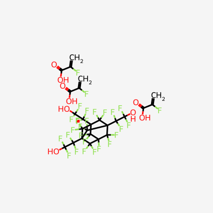 C=C(F)C(=O)O.C=C(F)C(=O)O.C=C(F)C(=O)O.OC(F)(F)C(F)(F)C12C(F)(F)C3(F)C(F)(F)C(C(F)(F)C(O)(F)F)(C1(F)F)C(F)(F)C(C(F)(F)C(O)(F)F)(C3(F)F)C2(F)F